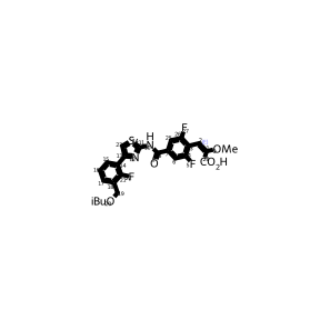 CO/C(=C/c1c(F)cc(C(=O)Nc2nc(-c3cccc(COCC(C)C)c3F)cs2)cc1F)C(=O)O